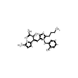 CCCCc1ncc(/C=C(/c2ccc(C)o2)C(C)C(=O)O)n1Cc1ccccc1Cl